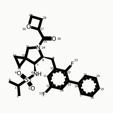 CC(C)S(=O)(=O)N[C@@H]1[C@H](Cc2cc(F)cc(-c3ccccc3)c2F)N(C(=O)C2CCO2)CC12CC2